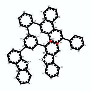 c1ccc(-c2ccc3cc(-c4ccccc4-c4nc(-c5cccc6c5sc5ccccc56)cc(-c5cccc6c5sc5ccccc56)n4)c4ccccc4c3c2)cc1